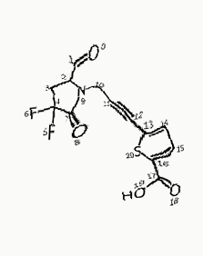 O=CC1CC(F)(F)C(=O)N1CC#Cc1ccc(C(=O)O)s1